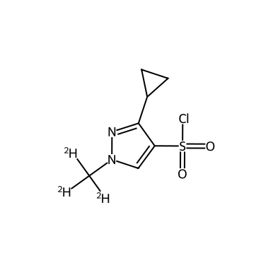 [2H]C([2H])([2H])n1cc(S(=O)(=O)Cl)c(C2CC2)n1